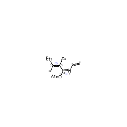 C=C/N=C(OC)\C(F)=C(/C)CC